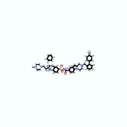 CN1CCN(CCC(CSc2ccccc2)Nc2ccc(S(=O)(=O)NC(=O)c3ccc4c(c3)cc3n4CCN(Cc4ccccc4-c4ccc(Cl)cc4)C3)cc2[N+](=O)[O-])CC1